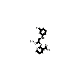 O=C(CNc1cccc(Cl)c1)Sc1ncccc1C(=O)O.[KH]